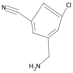 N#Cc1cc(Cl)cc(CN)c1